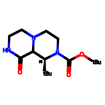 CC(C)(C)OC(=O)N1CCN2CCNC(=O)C2[C@@H]1C(C)(C)C